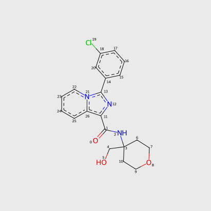 O=C(NC1(CO)CCOCC1)c1nc(-c2cccc(Cl)c2)n2ccccc12